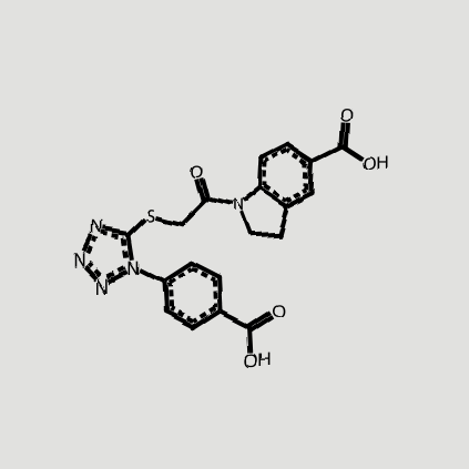 O=C(O)c1ccc(-n2nnnc2SCC(=O)N2CCc3cc(C(=O)O)ccc32)cc1